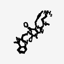 CC#CCn1c(N(C)CCN)nc2c1c(=O)n(Cc1nc(C)c3ccccc3n1)c(=O)n2C